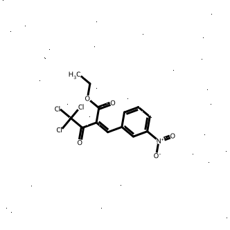 CCOC(=O)C(=Cc1cccc([N+](=O)[O-])c1)C(=O)C(Cl)(Cl)Cl